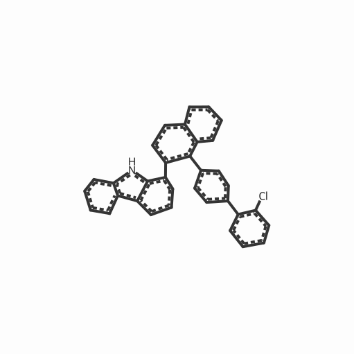 Clc1ccccc1-c1ccc(-c2c(-c3cccc4c3[nH]c3ccccc34)ccc3ccccc23)cc1